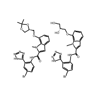 Cn1c(C(=O)Nc2ccc(Br)cc2-c2nnn[nH]2)cc2cccc(OC[C@H](O)CO)c21.Cn1c(C(=O)Nc2ccc(Br)cc2-c2nnn[nH]2)cc2cccc(OC[C@H]3COC(C)(C)O3)c21